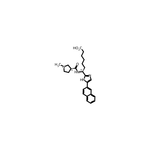 CN1CC[C@H](C(=O)N[C@@H](CCCCCC(=O)O)c2ncc(-c3ccc4ccccc4c3)[nH]2)C1